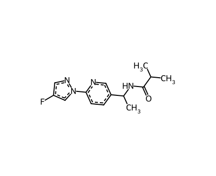 CC(C)C(=O)NC(C)c1ccc(-n2cc(F)cn2)nc1